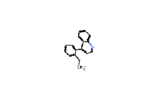 [CH2]Cc1ccccc1-c1ccnc2ccccc12